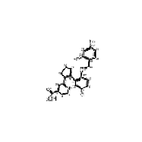 O=C(O)c1ccnc(C2=C(c3cc(Cl)ccc3OCc3ccc(F)cc3F)CCC2)c1